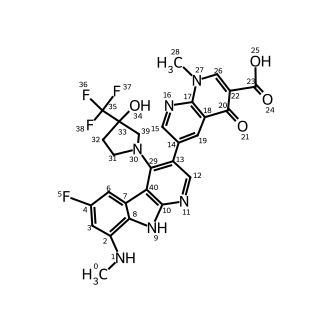 CNc1cc(F)cc2c1[nH]c1ncc(-c3cnc4c(c3)c(=O)c(C(=O)O)cn4C)c(N3CCC(O)(C(F)(F)F)C3)c12